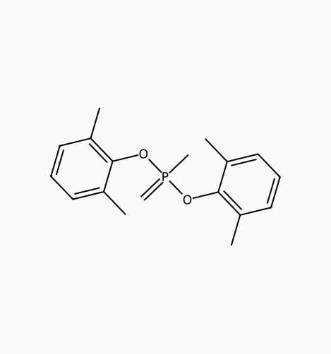 C=P(C)(Oc1c(C)cccc1C)Oc1c(C)cccc1C